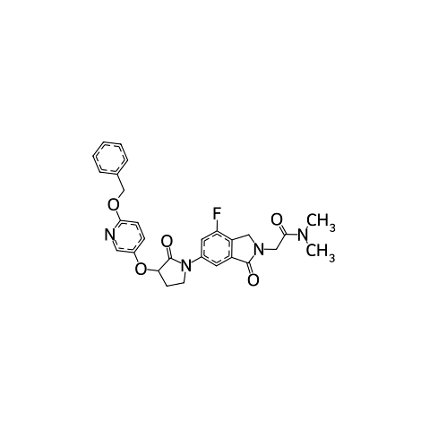 CN(C)C(=O)CN1Cc2c(F)cc(N3CCC(Oc4ccc(OCc5ccccc5)nc4)C3=O)cc2C1=O